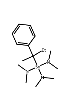 CC[C](C)(c1ccccc1)[Sn]([N](C)C)([N](C)C)[N](C)C